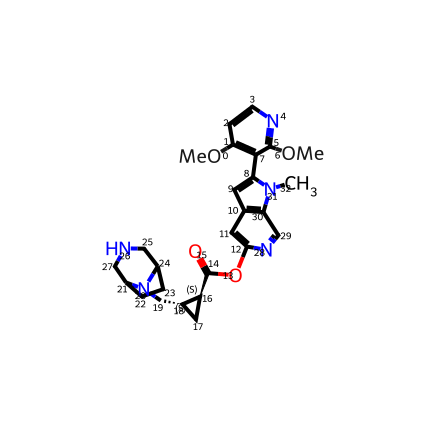 COc1ccnc(OC)c1-c1cc2cc(OC(=O)[C@H]3C[C@@H]3CN3C4CCC3CNC4)ncc2n1C